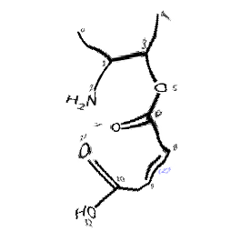 CC(N)C(C)OC(=O)/C=C\C(=O)O